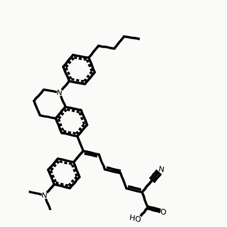 CCCCc1ccc(N2CCCc3cc(/C(=C/C=C/C=C(\C#N)C(=O)O)c4ccc(N(C)C)cc4)ccc32)cc1